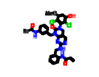 C=CC(=O)Nc1ccccc1CNc1ncc2c(n1)N(Cc1cccc(NC(=O)CC)c1)C(=O)N(c1c(Cl)c(O)cc(OC)c1Cl)C2